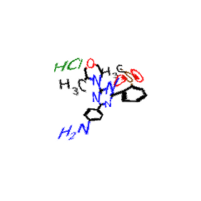 C[C@H]1COCCN1c1nc(-c2ccc(N)cc2)nc(-c2ccccc2S(C)(=O)=O)n1.Cl